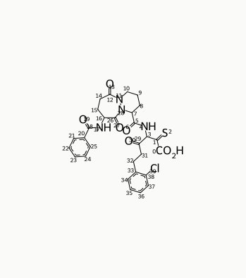 O=C(O)C(=S)C(NC(=O)C1CCCN2C(=O)CCC(NC(=O)c3ccccc3)C(=O)N12)C(=O)CCc1ccccc1Cl